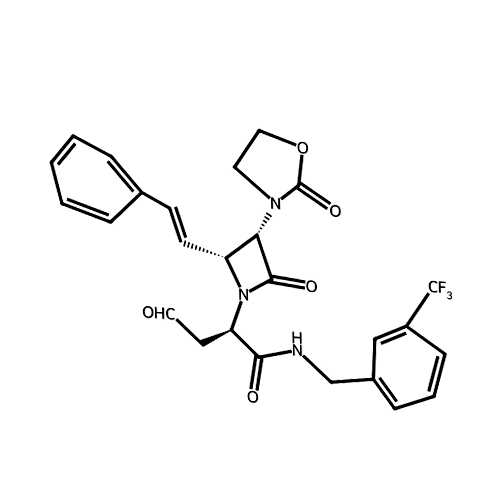 O=CC[C@H](C(=O)NCc1cccc(C(F)(F)F)c1)N1C(=O)[C@@H](N2CCOC2=O)[C@H]1/C=C/c1ccccc1